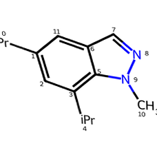 CC(C)c1cc(C(C)C)c2c(cnn2C)c1